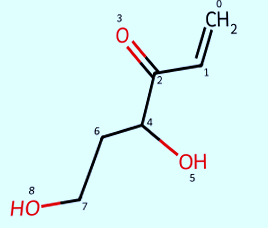 C=CC(=O)C(O)CCO